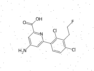 Nc1cc(C(=O)O)nc(-c2ccc(Cl)c(CCF)c2Cl)c1